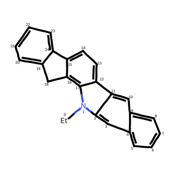 CCn1c2cc3ccccc3cc2c2ccc3c(c21)Cc1ccccc1-3